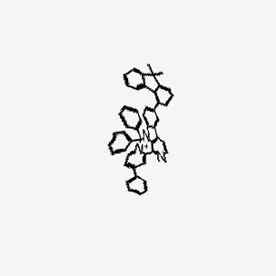 CC1(C)c2ccccc2-c2c(-c3ccc4c(c3)c3ccnc5c3n4C(c3ccccc3)(c3ccccc3)[n+]3ccc(-c4ccccc4)cc3-5)cccc21